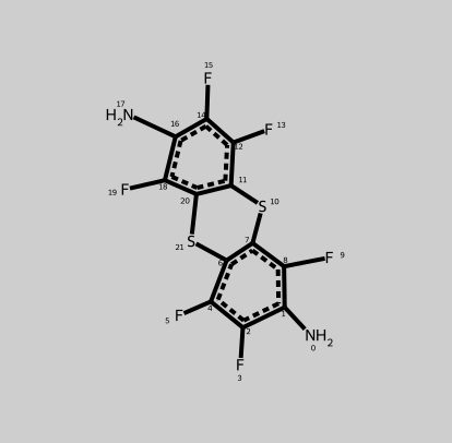 Nc1c(F)c(F)c2c(c1F)Sc1c(F)c(F)c(N)c(F)c1S2